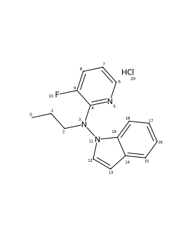 CCCN(c1ncccc1F)n1ccc2ccccc21.Cl